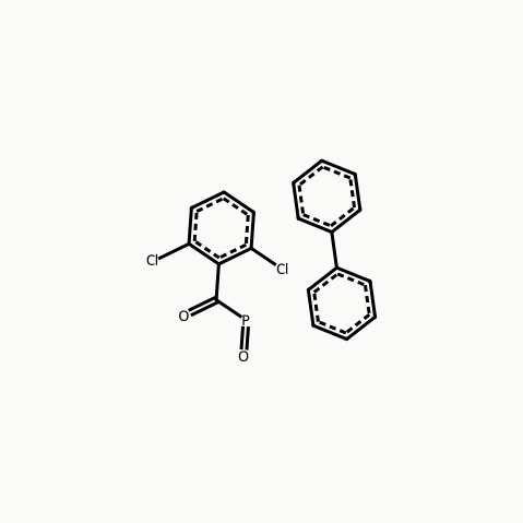 O=PC(=O)c1c(Cl)cccc1Cl.c1ccc(-c2ccccc2)cc1